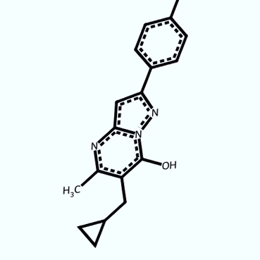 Cc1nc2cc(-c3ccc(Cl)cc3)nn2c(O)c1CC1CC1